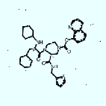 O=C(NCc1cccs1)[C@@H]1CN(C(=O)Oc2cccc3cccnc23)CCN1C(=O)[C@@H](CC1CCCCC1)NC1CCCCC1